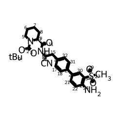 CC(C)(C)OC(=O)N1CCCC[C@H]1C(=O)N[C@H](C#N)Cc1ccc(-c2ccc(N)c(S(C)(=O)=O)c2)cc1